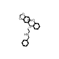 COc1ccccc1[C@H](CCNCc1ccccc1)c1ccc2c(c1)OCO2